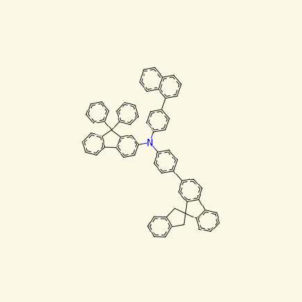 c1ccc(C2(c3ccccc3)c3ccccc3-c3ccc(N(c4ccc(-c5ccc6c(c5)C5(Cc7ccccc7C5)c5ccccc5-6)cc4)c4ccc(-c5cccc6ccccc56)cc4)cc32)cc1